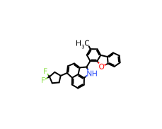 Cc1cc(C2Nc3cccc4c(C5CCC(F)(F)C5)ccc2c34)c2oc3ccccc3c2c1